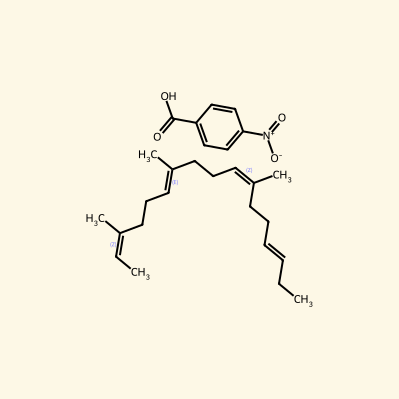 C/C=C(/C)CC/C=C(\C)CC/C=C(/C)CCC=CCC.O=C(O)c1ccc([N+](=O)[O-])cc1